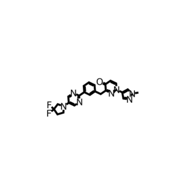 Cn1cc(-n2ccc(=O)c(Cc3cccc(-c4ncc(N5CCC(F)(F)C5)cn4)c3)n2)cn1